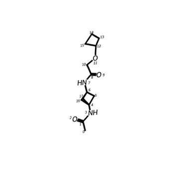 CC(=O)NC12CC(NC(=O)COC3CCC3)(C1)C2